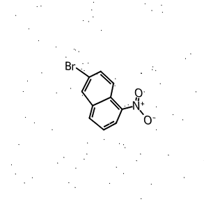 O=[N+]([O-])c1cccc2cc(Br)ccc12